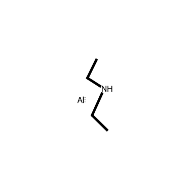 CCNCC.[Al]